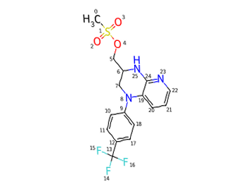 CS(=O)(=O)OCC1CN(c2ccc(C(F)(F)F)cc2)c2cccnc2N1